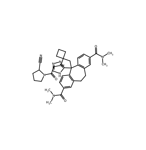 CN(C)C(=O)c1ccc2c(c1)CCc1cc(C(=O)N(C)C)ccc1C2(CC1(NCC(=O)N2CCCC2C#N)CCC1)c1nnn[nH]1